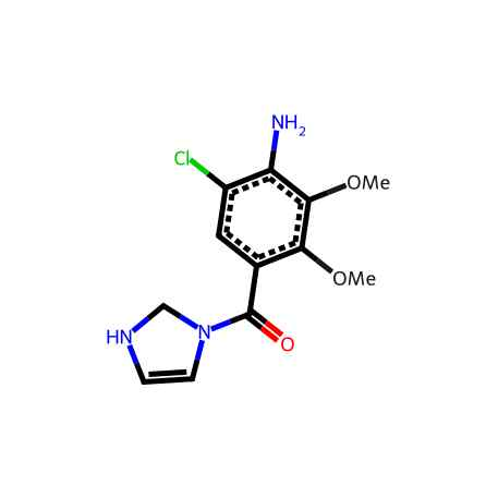 COc1c(C(=O)N2C=CNC2)cc(Cl)c(N)c1OC